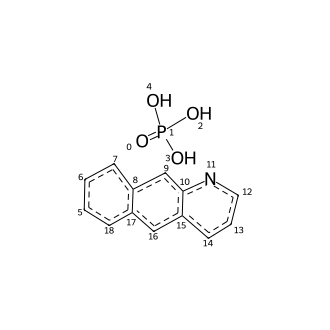 O=P(O)(O)O.c1ccc2cc3ncccc3cc2c1